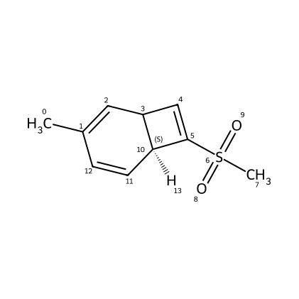 CC1=CC2C=C(S(C)(=O)=O)[C@H]2C=C1